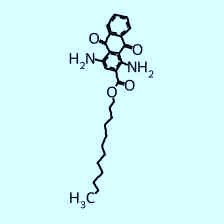 CCCCCCCCCCCCOC(=O)c1cc(N)c2c(c1N)C(=O)c1ccccc1C2=O